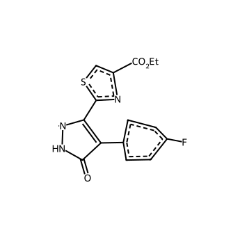 CCOC(=O)c1csc(C2=C(c3ccc(F)cc3)C(=O)N[N]2)n1